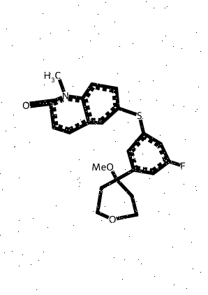 COC1(c2cc(F)cc(Sc3ccc4c(ccc(=O)n4C)c3)c2)CCOCC1